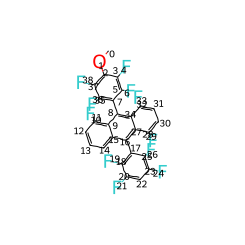 COc1c(F)c(F)c(-c2c3c(F)cccc3c(-c3c(F)c(F)cc(F)c3F)c3c(F)ccc(F)c23)c(F)c1F